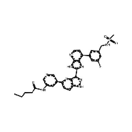 CCCCC(=O)Nc1cncc(-c2ccc3[nH]nc(-c4nc5c(-c6cc(F)cc(CNS(C)(=O)=O)c6)ccnc5[nH]4)c3n2)c1